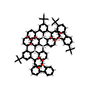 CC(C)(C)c1cc(-c2ccccc2)c(N2c3cc(-n4c5ccccc5c5ccccc54)ccc3B3c4ccc(-n5c6cc(C(C)(C)C)ccc6c6ccc(C(C)(C)C)cc65)cc4N(c4c(-c5ccccc5)cc(C(C)(C)C)cc4-c4ccccc4)c4cccc2c43)c(-c2ccccc2)c1